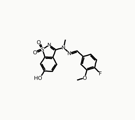 COc1cc(/C=N/N(C)C2=NS(=O)(=O)c3cc(O)ccc32)ccc1F